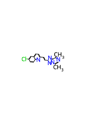 Cc1ncc(C)n2nc(C=Cc3ccc4cc(Cl)ccc4n3)nc12